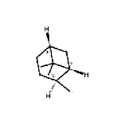 [CH2][C@H]1CC[C@@H]2C[C@H]1C2(C)C